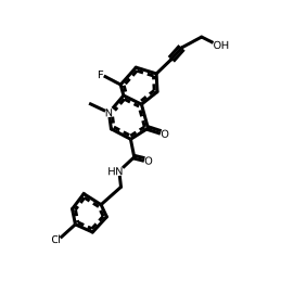 Cn1cc(C(=O)NCc2ccc(Cl)cc2)c(=O)c2cc(C#CCO)cc(F)c21